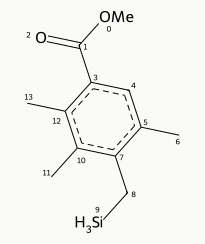 COC(=O)c1cc(C)c(C[SiH3])c(C)c1C